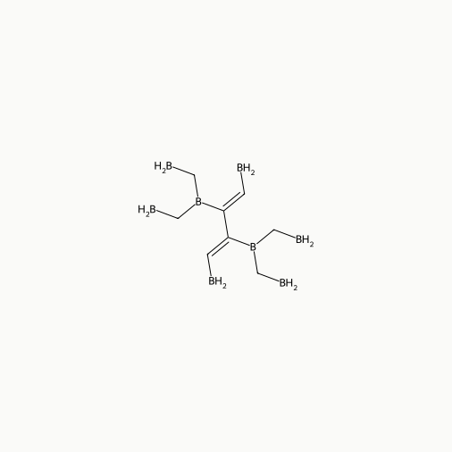 B/C=C(B(CB)CB)/C(=C/B)B(CB)CB